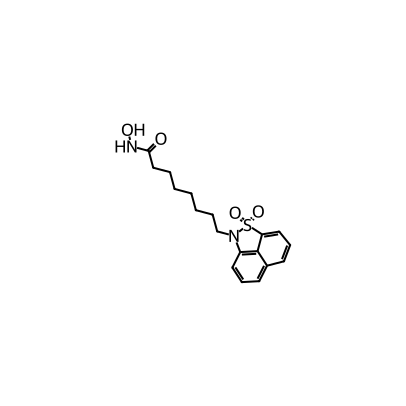 O=C(CCCCCCCN1c2cccc3cccc(c23)S1(=O)=O)NO